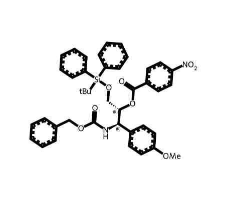 COc1ccc([C@@H](NC(=O)OCc2ccccc2)[C@H](CO[Si](c2ccccc2)(c2ccccc2)C(C)(C)C)OC(=O)c2ccc([N+](=O)[O-])cc2)cc1